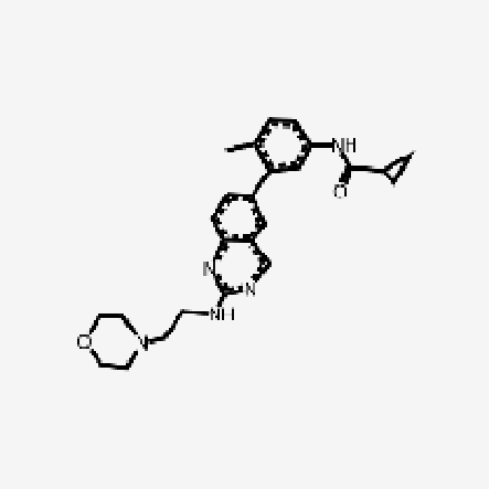 Cc1ccc(NC(=O)C2CC2)cc1-c1ccc2nc(NCCN3CCOCC3)ncc2c1